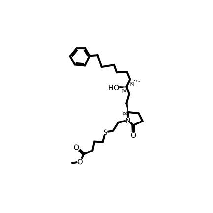 COC(=O)CCCSCCN1C(=O)CC[C@@H]1CC[C@@H](O)[C@@H](C)CCCCCc1ccccc1